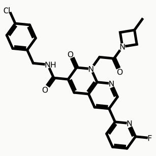 CC1CN(C(=O)Cn2c(=O)c(C(=O)NCc3ccc(Cl)cc3)cc3cc(-c4cccc(F)n4)cnc32)C1